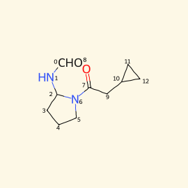 O=CNC1CCCN1C(=O)CC1CC1